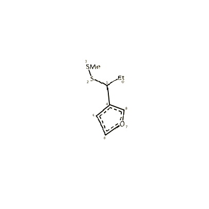 CCC(SSC)c1ccoc1